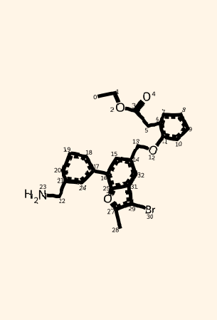 CCOC(=O)Cc1ccccc1OCc1cc(-c2cccc(CN)c2)c2oc(C)c(Br)c2c1